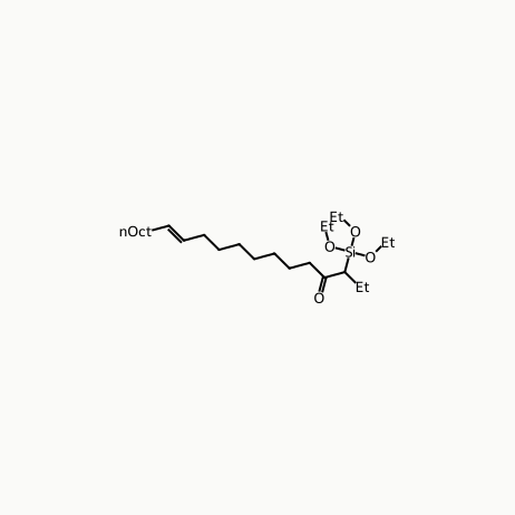 CCCCCCCCC=CCCCCCCCC(=O)C(CC)[Si](OCC)(OCC)OCC